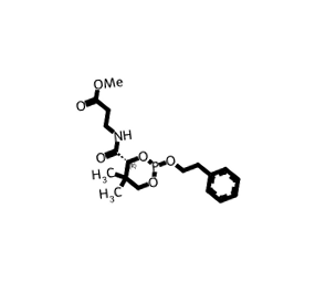 COC(=O)CCNC(=O)[C@@H]1OP(OCCc2ccccc2)OCC1(C)C